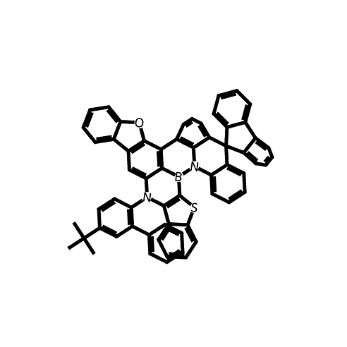 CC(C)(C)c1ccc(N2c3cc4c(oc5ccccc54)c4c3B(c3sc5ccccc5c32)N2c3ccccc3C3(c5ccccc5-c5ccccc53)c3cccc-4c32)c(-c2ccccc2)c1